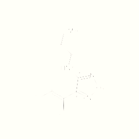 CC/C=C(\Cl)c1nonc1NCCOC